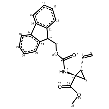 C=C[C@@H]1C[C@]1(NC(=O)OCC1c2ccccc2-c2ccccc21)C(=O)OC